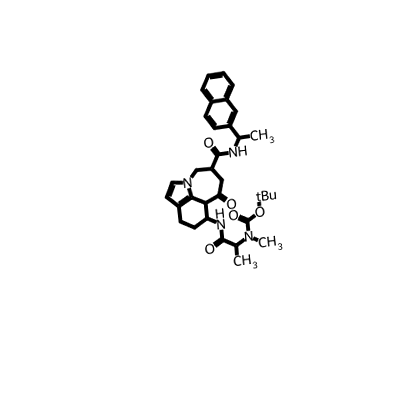 CC(NC(=O)C1CC(=O)C2c3c(ccn3C1)CCC2NC(=O)C(C)N(C)C(=O)OC(C)(C)C)c1ccc2ccccc2c1